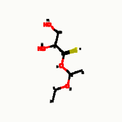 CCOC(C)OC(=S)C(O)CO